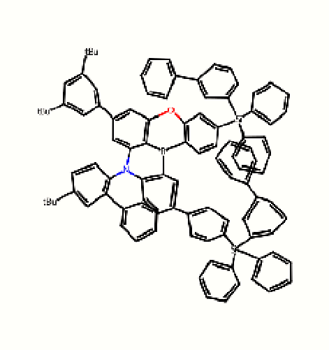 CC(C)(C)c1cc(-c2cc3c4c(c2)N(c2ccc(C(C)(C)C)cc2-c2ccccc2)c2ccc(-c5ccc([Si](c6ccccc6)(c6ccccc6)c6cccc(-c7ccccc7)c6)cc5)cc2B4c2ccc([Si](c4ccccc4)(c4ccccc4)c4cccc(-c5ccccc5)c4)cc2O3)cc(C(C)(C)C)c1